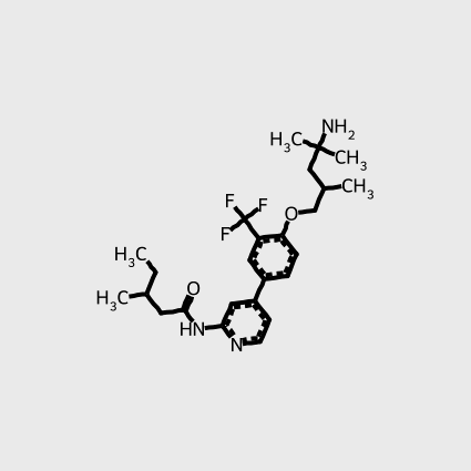 CCC(C)CC(=O)Nc1cc(-c2ccc(OCC(C)CC(C)(C)N)c(C(F)(F)F)c2)ccn1